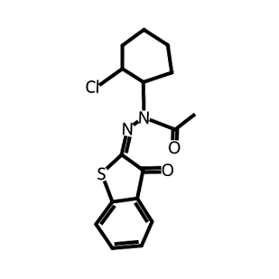 CC(=O)N(/N=C1/Sc2ccccc2C1=O)C1CCCCC1Cl